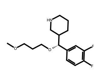 COCCCO[C@@H](c1ccc(F)c(F)c1)C1CCCNC1